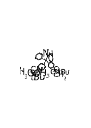 CC(C)(C)[Si](C)(C)Oc1ccc(C2(c3ccc(O[Si](C)(C)C(C)(C)C)cc3)C(=O)Nc3ccccc32)cc1